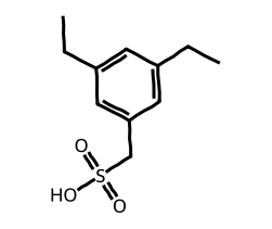 CCc1cc(CC)cc(CS(=O)(=O)O)c1